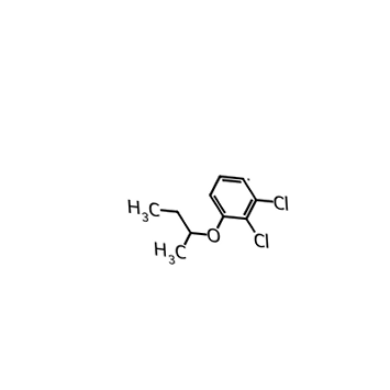 CCC(C)Oc1cc[c]c(Cl)c1Cl